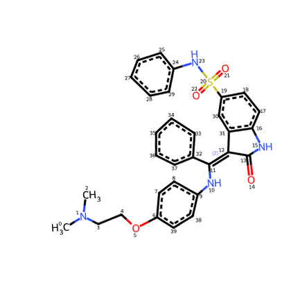 CN(C)CCOc1ccc(N/C(=C2\C(=O)Nc3ccc(S(=O)(=O)Nc4ccccc4)cc32)c2ccccc2)cc1